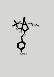 C=C1[C@@]2(COC)CC(OCc3ccc(OC)cc3)[C@@H]3OC(C)(C)O[C@]132